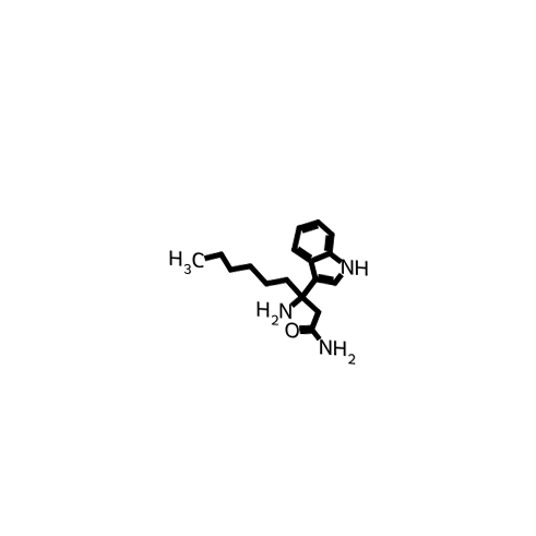 CCCCCCC(N)(CC(N)=O)c1c[nH]c2ccccc12